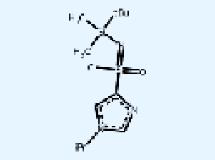 CC(C)n1cnc(S(=O)(Cl)=N[Si](C)(C)C(C)(C)C)c1